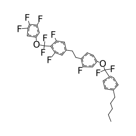 CCCCCc1ccc(C(F)(F)Oc2ccc(CCc3cc(F)c(C(F)(F)Oc4cc(F)c(F)c(F)c4)c(F)c3)c(F)c2)cc1